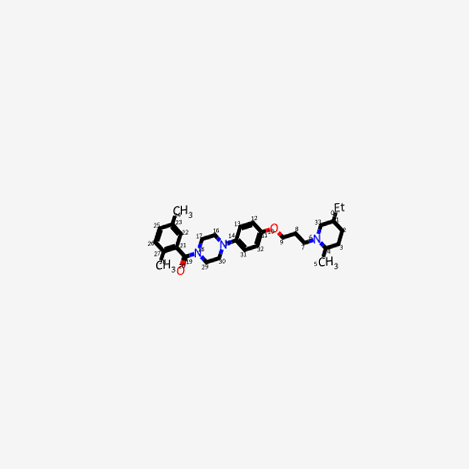 CCC1CCC(C)N(CCCOc2ccc(N3CCN(C(=O)c4cc(C)ccc4C)CC3)cc2)C1